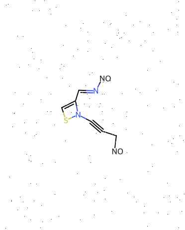 O=NCC#Cn1scc1C=NN=O